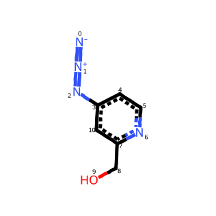 [N-]=[N+]=Nc1ccnc(CO)c1